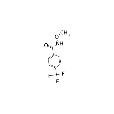 CONC(=O)c1ccc(C(F)(F)F)cc1